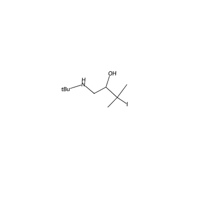 CC(C)(C)NCC(O)C(C)(C)I